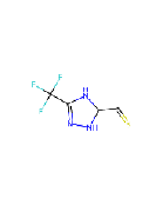 FC(F)(F)C1=NNC(C=S)N1